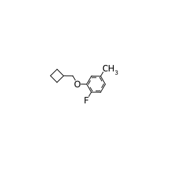 Cc1ccc(F)c(OCC2CCC2)c1